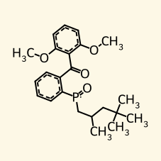 COc1cccc(OC)c1C(=O)c1ccccc1[P](=O)CC(C)CC(C)(C)C